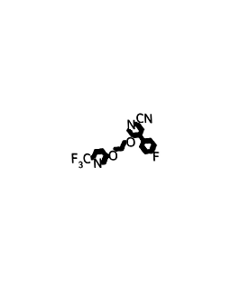 N#Cc1cc(-c2ccc(F)cc2)c(OCCCOc2ccc(C(F)(F)F)nc2)cn1